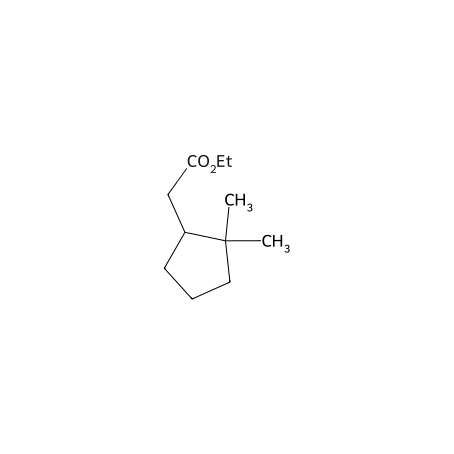 CCOC(=O)CC1CCCC1(C)C